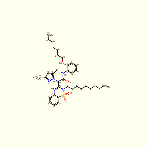 CCCCCCCCCCCCCCCCCCN1C(C(C(=O)Nc2ccccc2OCCCCCCCCCCCCCCCC)n2nc(C(=O)O)cc2C)=Nc2ccccc2S1(=O)=O